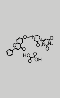 Cn1c(N2CCN(CCOc3ccc4oc(-c5ccccc5)cc(=O)c4c3)CC2=O)cc(=O)n(C)c1=O.O=C(O)C(=O)O